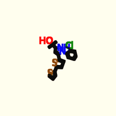 CC(C)(O)C1C=C(c2ccc(-c3cccs3)s2)N(c2ccccc2Cl)N1